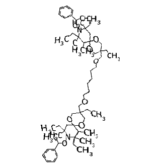 CCC1(COCCCCCCOCC2(CC)COC3(CC(C)(CC)N(OC(C)c4ccccc4)C(C)(CC)C3C)OC2)COC2(CC(C)(CC)N(OC(C)c3ccccc3)C(C)(CC)C2C)OC1